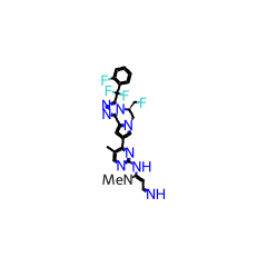 CN/C(=C\C=N)Nc1ncc(C)c(-c2cc3n(c2)C[C@H](CF)n2c-3nnc2C(F)(F)c2ccccc2F)n1